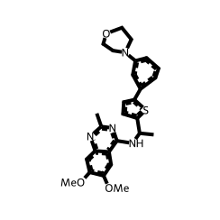 COc1cc2nc(C)nc(NC(C)c3ccc(-c4cccc(N5CCOCC5)c4)s3)c2cc1OC